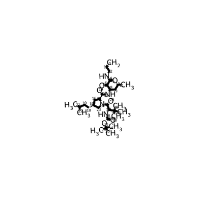 C=CCNC(=O)C(=O)C(CCC)NC(=O)[C@@H]1C[C@@H](CCC(C)C)CN1C(=O)[C@@H](NC(=O)OC(C)(C)C)C(C)(C)C